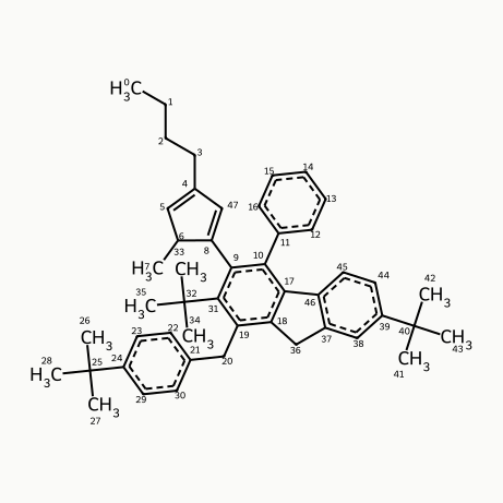 CCCCC1=CC(C)C(c2c(-c3ccccc3)c3c(c(Cc4ccc(C(C)(C)C)cc4)c2C(C)(C)C)Cc2cc(C(C)(C)C)ccc2-3)=C1